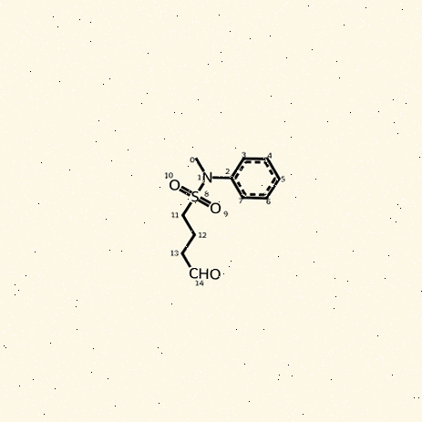 CN(c1ccccc1)S(=O)(=O)CCCC=O